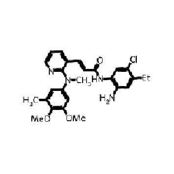 CCc1cc(N)c(NC(=O)/C=C/c2cccnc2N(C)c2cc(C)c(OC)c(OC)c2)cc1Cl